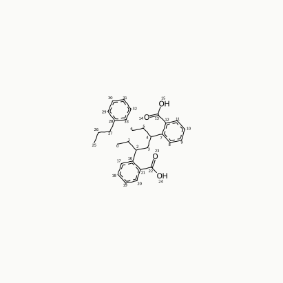 CCC(CC(CC)c1ccccc1C(=O)O)c1ccccc1C(=O)O.CCCc1ccccc1